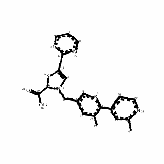 Cc1cc(-c2ncc(CN3C=C(c4ncccn4)SC3C(=O)O)cc2C)ccn1